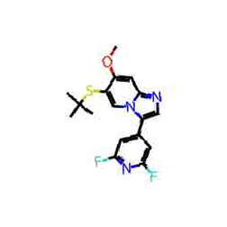 COc1cc2ncc(-c3cc(F)nc(F)c3)n2cc1SC(C)(C)C